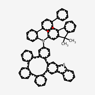 CC1(C)c2ccccc2-c2ccc(N(c3ccc4c(c3)c3ccccc3c3ccccc3c3ccccc3c3cc5c(cc43)sc3ccccc35)c3ccccc3-c3ccc(-c4ccccc4)cc3)cc21